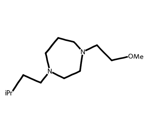 COCCN1CCCN(CCC(C)C)CC1